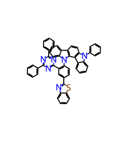 c1ccc(-c2nc(-c3ccccc3)nc(-c3cc(-c4nc5ccccc5s4)ccc3-n3c4ccccc4c4ccc5c(c6ccccc6n5-c5ccccc5)c43)n2)cc1